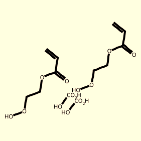 C=CC(=O)OCCOO.C=CC(=O)OCCOO.O=C(O)O.O=C(O)O